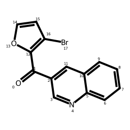 O=C(c1cnc2ccccc2c1)c1occc1Br